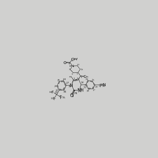 CC1=C(C(=O)C2CCN(C(=O)O)CC2)C(c2ccc(C#N)cc2)NC(=O)N1c1cccc(C(F)(F)F)c1